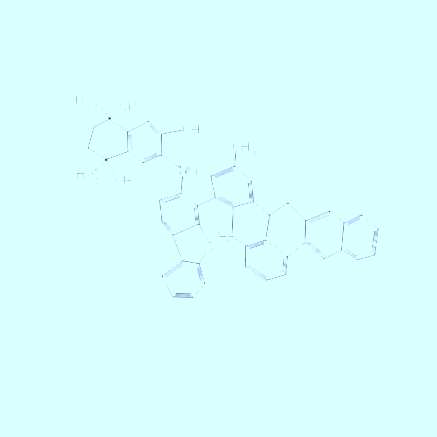 Cc1cc(-c2c(Nc3cc4c(cc3C)C(C)(C)CCC4(C)C)ccc3c2sc2ccccc23)c2c(c1)C1Cc3cc4ccccc4cc3-c3cccc(c31)B2